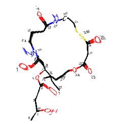 C[C@H](O)CC(=O)O[C@H]1C(=O)NCCC(=O)NCCSC(=O)CC(=O)OCC1(C)C